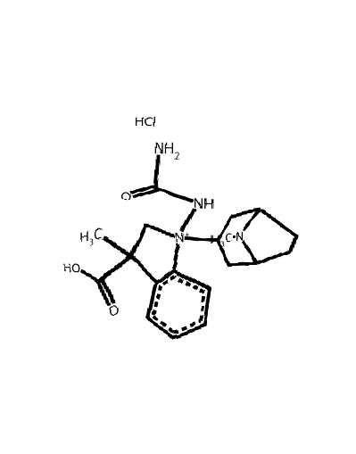 CN1C2CCC1CC([N+]1(NC(N)=O)CC(C)(C(=O)O)c3ccccc31)C2.Cl